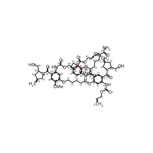 C=CCOC(=O)Nc1cc(OCCCCCOc2cc(NC(=O)OCc3ccc(NC(=O)C(CCCNC(N)=O)NC(=O)C4(C(=O)OCC=C)CCC4)cc3)c(C(=O)N3CC(=C)CC3CO)cc2OC)c(OC)cc1C(=O)N1CC(=C)CC1CO